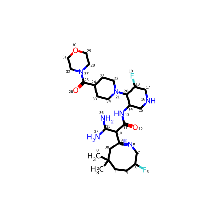 CC1(C)CCC(F)C/N=C(/C(C(=O)NC2CNCC(F)C2N2CCC(C(=O)N3CCOCC3)CC2)C(N)N)C1